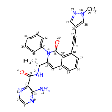 C[C@@H](NC(=O)c1nccnc1N)c1cc2cccc(C#Cc3cnn(C)c3)c2c(=O)n1-c1ccccc1